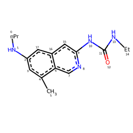 CCCNc1cc(C)c2cnc(NC(=O)NCC)cc2c1